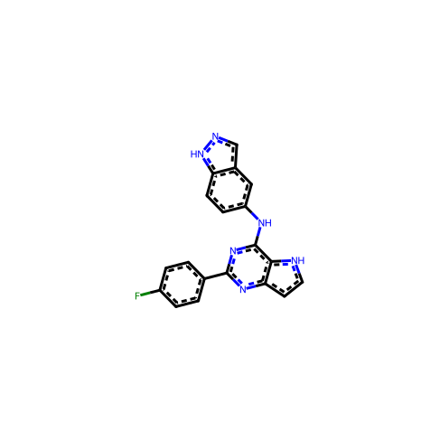 Fc1ccc(-c2nc(Nc3ccc4[nH]ncc4c3)c3[nH]ccc3n2)cc1